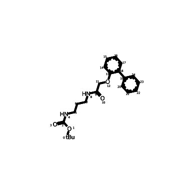 CC(C)(C)OC(=O)NCCCNC(=O)COc1ccccc1-c1ccccc1